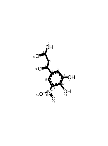 O=C(O)CC(=O)c1cc(O)c(O)c([N+](=O)[O-])c1